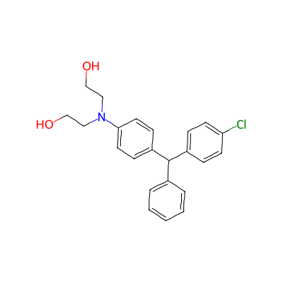 OCCN(CCO)c1ccc(C(c2ccccc2)c2ccc(Cl)cc2)cc1